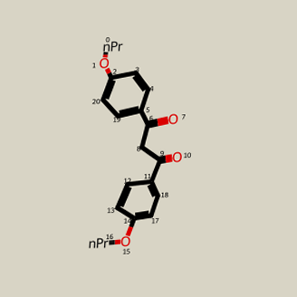 CCCOc1ccc(C(=O)CC(=O)c2ccc(OCCC)cc2)cc1